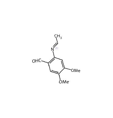 C/C=N/c1cc(OC)c(OC)cc1C=O